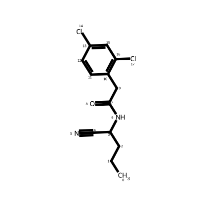 CCCC(C#N)NC(=O)Cc1ccc(Cl)cc1Cl